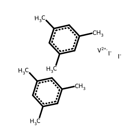 Cc1cc(C)cc(C)c1.Cc1cc(C)cc(C)c1.[I-].[I-].[V+2]